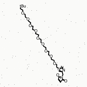 CC(C)(C)CCOCCOCCOCCOCCOCCOCCOCCOCCOCCn1cc(CN2C(=O)C=CC2=O)nn1